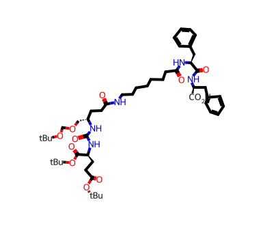 CC(C)(C)OCOC[C@H](CCC(=O)NCCCCCCCC(=O)N[C@@H](Cc1ccccc1)C(=O)N[C@@H](Cc1ccccc1)C(=O)O)NC(=O)N[C@@H](CCC(=O)OC(C)(C)C)C(=O)OC(C)(C)C